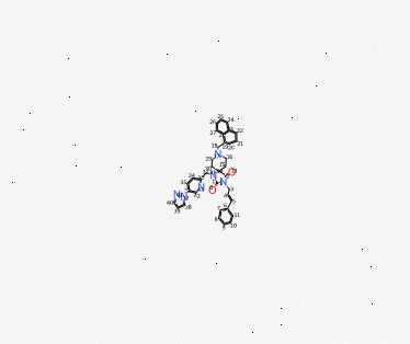 O=C1N(C/C=C/c2ccccc2)C(=O)C2(CCN(Cc3cccc4ccccc34)CC2)N1Cc1ccc(-n2cccn2)cn1